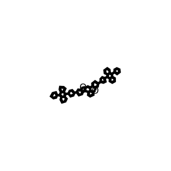 C1=CC(c2c3ccccc3c(-c3ccccc3)c3ccccc23)CC=C1c1ccc2c(c1)oc1cc3c4c(cccc4c12)Oc1cc(C2=CC=C(c4c5ccccc5c(-c5ccccc5)c5ccccc45)CC2)ccc1-3